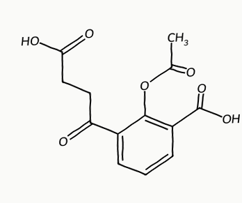 CC(=O)Oc1c(C(=O)O)cccc1C(=O)CCC(=O)O